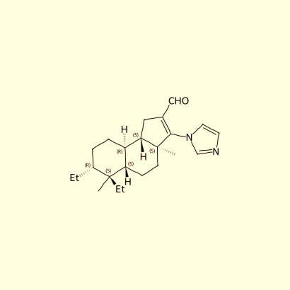 CC[C@@H]1CC[C@@H]2[C@H](CC[C@]3(C)C(n4ccnc4)=C(C=O)C[C@@H]23)[C@@]1(C)CC